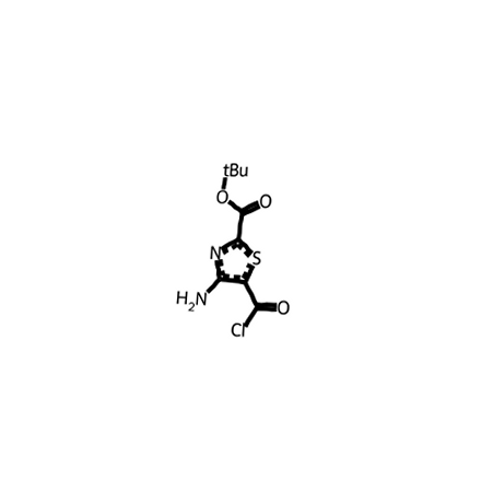 CC(C)(C)OC(=O)c1nc(N)c(C(=O)Cl)s1